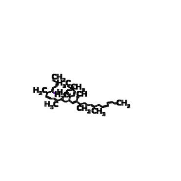 C#C/C(=C\[C@@H](CC/C(C)=C/C=C\C(=C)/C(I)=C/C=C\C=C)C(=C)/C=C\C(C)(C)CC)C(=C)CC/C=C(\C)C/C=C\C=C/C=C